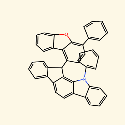 c1ccc(-c2ccc(C3c4ccccc4-c4ccc5c6ccccc6n(-c6ccccc6)c5c43)c3c2oc2ccccc23)cc1